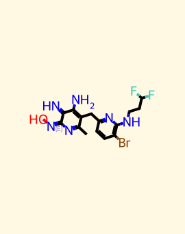 CC1=N/C(=N/O)C(=N)C(N)=C1Cc1ccc(Br)c(NCCC(F)F)n1